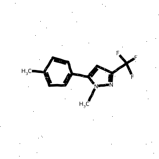 Cc1ccc(-c2cc(C(F)(F)F)nn2C)cc1